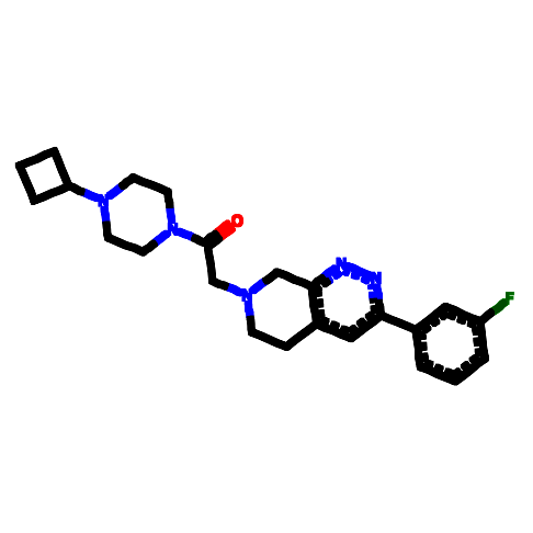 O=C(CN1CCc2cc(-c3cccc(F)c3)nnc2C1)N1CCN(C2CCC2)CC1